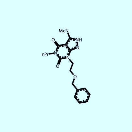 CCCn1c(=O)c2c(NC)[nH]nc2n(CCOCc2ccccc2)c1=O